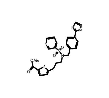 COC(=O)c1ccc(CCCN(Cc2ccc(-c3nccs3)cc2)S(=O)(=O)c2cccnc2)s1